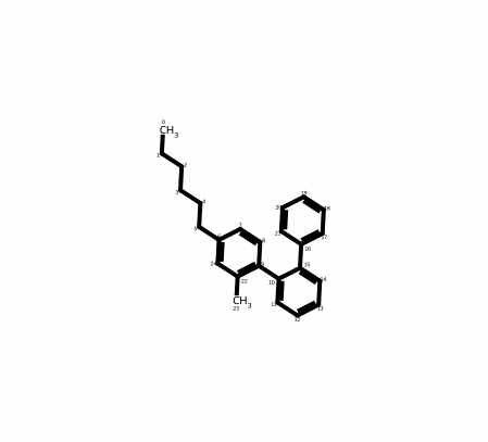 CCCCCCc1ccc(-c2ccccc2-c2ccccc2)c(C)c1